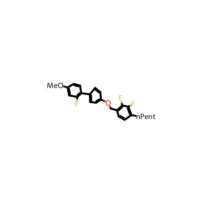 CCCCCc1ccc(COc2ccc(-c3ccc(OC)cc3F)cc2)c(F)c1F